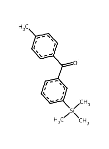 Cc1ccc(C(=O)c2cccc([Si](C)(C)C)c2)cc1